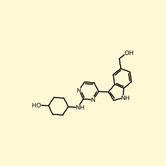 OCc1ccc2[nH]cc(-c3ccnc(NC4CCC(O)CC4)n3)c2c1